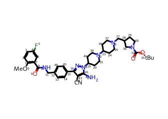 COc1ccc(F)cc1C(=O)NCc1ccc(-c2nn(C3CCN(C4CCN(CC5CCN(C(=O)OC(C)(C)C)C5)CC4)CC3)c(N)c2C#N)cc1